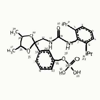 CC(C)c1cccc(C(C)C)c1NC(=O)NCC1(c2cccc(OP(=O)(O)O)c2)OC(C)C(C)O1